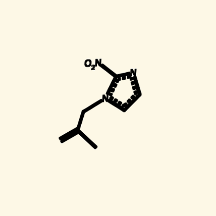 C=C(C)Cn1ccnc1[N+](=O)[O-]